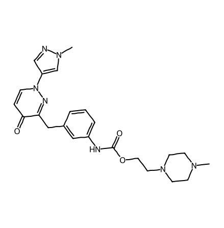 CN1CCN(CCOC(=O)Nc2cccc(Cc3nn(-c4cnn(C)c4)ccc3=O)c2)CC1